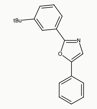 CC(C)(C)c1cccc(-c2ncc(-c3ccccc3)o2)c1